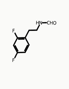 O=CNCCc1ccc(F)cc1F